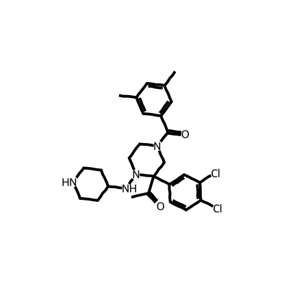 CC(=O)C1(c2ccc(Cl)c(Cl)c2)CN(C(=O)c2cc(C)cc(C)c2)CCN1NC1CCNCC1